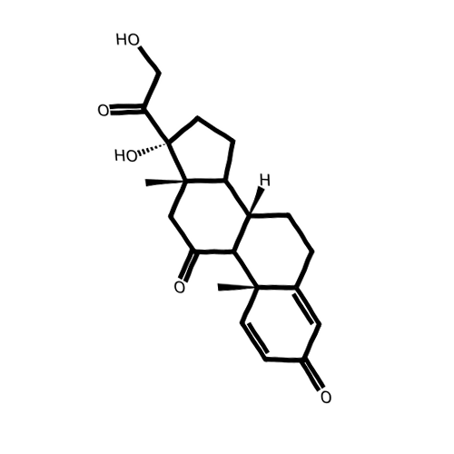 C[C@]12C=CC(=O)C=C1CC[C@@H]1C2C(=O)C[C@@]2(C)C1CC[C@]2(O)C(=O)CO